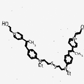 CCN(CCSSCCN(CC)c1ccc(/C=C(\C)c2cc[n+](CCO)cc2)cc1)c1ccc(/C=C(\C)c2cc[n+](CCO)cc2)cc1